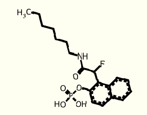 CCCCCCCNC(=O)C(F)c1c(OP(=O)(O)O)ccc2ccccc12